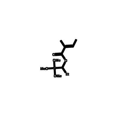 CC=C(C)C(=O)OC(CC)[Si](OC)(OC)OC